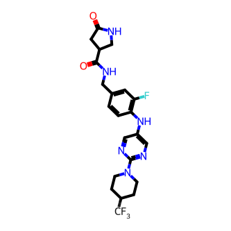 O=C1CC(C(=O)NCc2ccc(Nc3cnc(N4CCC(C(F)(F)F)CC4)nc3)c(F)c2)CN1